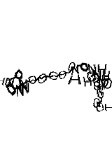 O=C(O)CC1CCN(C(=O)[C@@H]2COCCN2C(O)NC(=O)Nc2ccc(CNC(=O)CCOCCOCCOCCOCCn3nnc4c3-c3ccccc3CNc3ccccc3-4)cc2)CC1